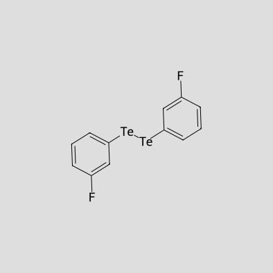 Fc1cccc([Te][Te]c2cccc(F)c2)c1